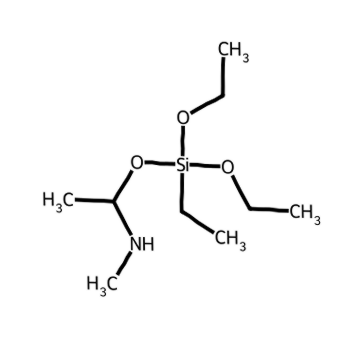 CCO[Si](CC)(OCC)OC(C)NC